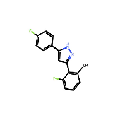 N#Cc1cccc(F)c1-c1cc(-c2ccc(F)cc2)[nH]n1